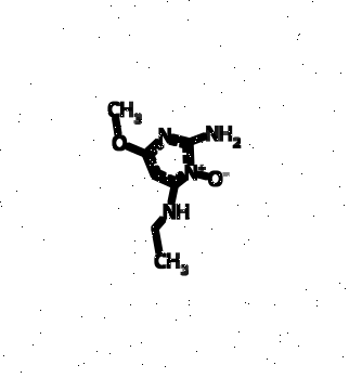 CCNc1cc(OC)nc(N)[n+]1[O-]